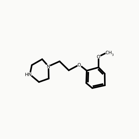 COc1ccccc1OCCN1CCNCC1